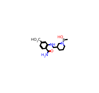 CB(O)N1CCCC(CNc2cc(C(=O)O)ccc2C(N)=O)C1